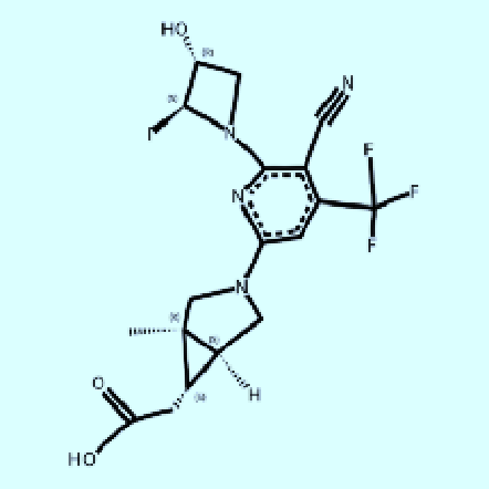 C[C@]12CN(c3cc(C(F)(F)F)c(C#N)c(N4C[C@@H](O)[C@@H]4I)n3)C[C@H]1[C@@H]2CC(=O)O